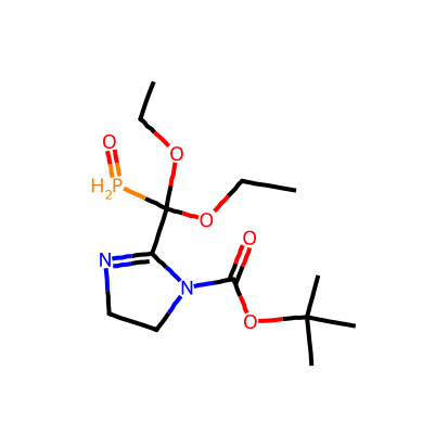 CCOC(OCC)([PH2]=O)C1=NCCN1C(=O)OC(C)(C)C